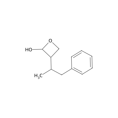 CC(Cc1ccccc1)C1COC1O